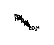 O=C(O)CC1CCN(c2ncc(-c3ccc(-c4nc5ccc(F)cc5[nH]4)cn3)cn2)CC1